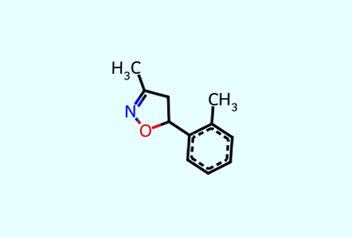 CC1=NOC(c2ccccc2C)C1